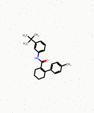 Cc1ccc(C2=C(C(=O)Nc3cc[c]c(C(C)(C)C)c3)CCCC2)cc1